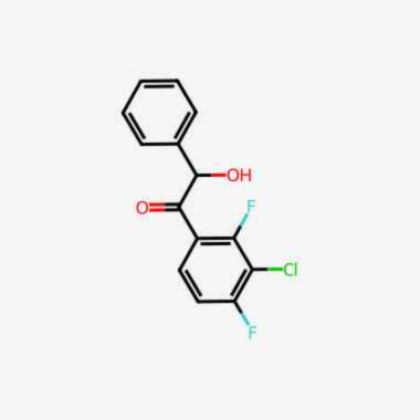 O=C(c1ccc(F)c(Cl)c1F)C(O)c1ccccc1